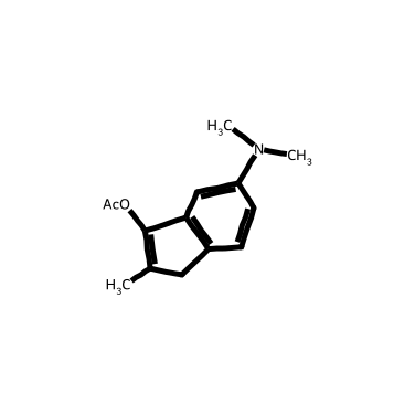 CC(=O)OC1=C(C)Cc2ccc(N(C)C)cc21